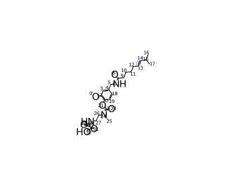 COc1cc(CNC(=O)CCCC/C=C/C(C)C)ccc1OC(=O)N(C)CCNS(=O)(=O)O